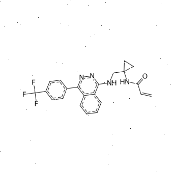 C=CC(=O)NC1(CNc2nnc(-c3ccc(C(F)(F)F)cc3)c3ccccc23)CC1